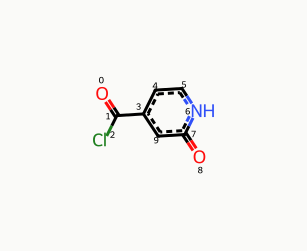 O=C(Cl)c1cc[nH]c(=O)c1